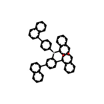 c1ccc2c(-c3ccc(N(c4cc(-c5cccc6ccccc56)ccc4-c4cccc5ccccc45)c4cccc5ccccc45)cc3)cccc2c1